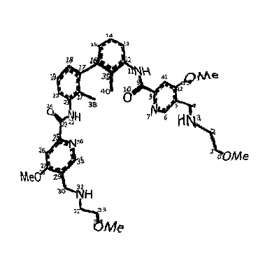 COCCNCc1cnc(C(=O)Nc2cccc(-c3cccc(NC(=O)c4cc(OC)c(CNCCOC)cn4)c3C)c2C)cc1OC